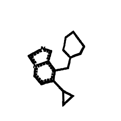 c1cn2cncc2c(CC2CCCCC2)c1C1CC1